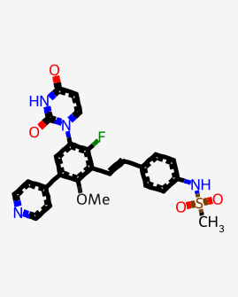 COc1c(-c2ccncc2)cc(-n2ccc(=O)[nH]c2=O)c(F)c1/C=C/c1ccc(NS(C)(=O)=O)cc1